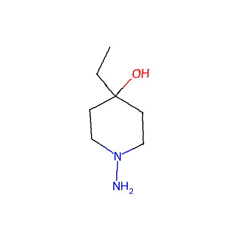 CCC1(O)CCN(N)CC1